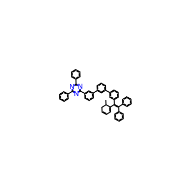 CC1CC=CC=C1C(=C(c1ccccc1)c1ccccc1)c1cccc(-c2cccc(-c3cccc(-c4nc(-c5ccccc5)nc(-c5ccccc5)n4)c3)c2)c1